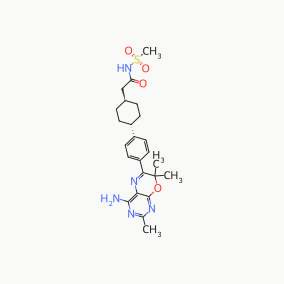 Cc1nc(N)c2c(n1)OC(C)(C)C(c1ccc([C@H]3CC[C@H](CC(=O)NS(C)(=O)=O)CC3)cc1)=N2